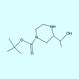 CC(O)C1CN(C(=O)OC(C)(C)C)CCN1